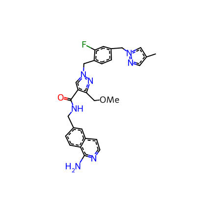 COCc1nn(Cc2ccc(Cn3cc(C)cn3)cc2F)cc1C(=O)NCc1ccc2c(N)nccc2c1